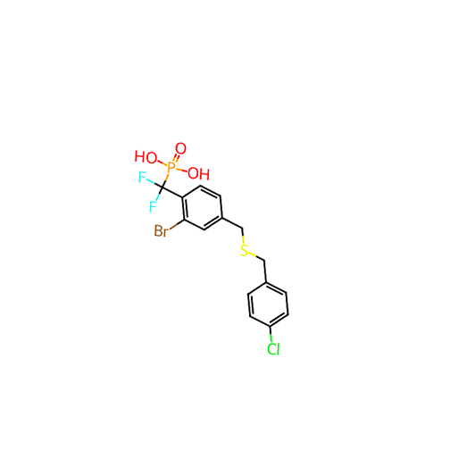 O=P(O)(O)C(F)(F)c1ccc(CSCc2ccc(Cl)cc2)cc1Br